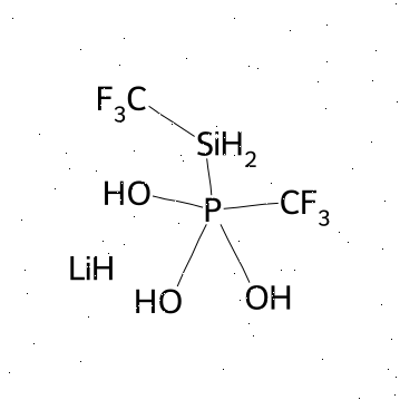 OP(O)(O)([SiH2]C(F)(F)F)C(F)(F)F.[LiH]